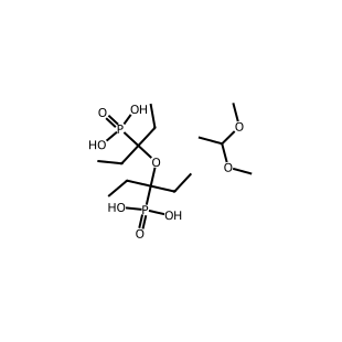 CCC(CC)(OC(CC)(CC)P(=O)(O)O)P(=O)(O)O.COC(C)OC